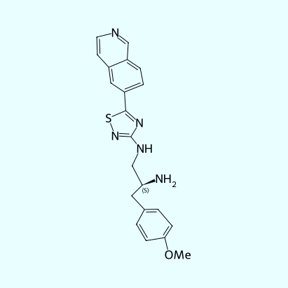 COc1ccc(C[C@H](N)CNc2nsc(-c3ccc4cnccc4c3)n2)cc1